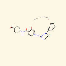 COC(=O)C1CCC(NC(=O)c2ccc3cc2OCCCCCCOc2cc(ccc2F)-c2nc(ncc2F)N3)CC1